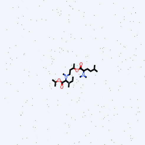 CCC(C)C(C(=O)OC(C)C)N(C)CCC(C)OC(=O)C(CCC(C)C)N(C)C